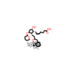 CC(C)(C)[Si](C)(C)OC(CC[C@H]1C(OC2CCCCO2)C[C@H](O)[C@@H]1C/C=C\CCCC(=O)O)Cc1ccccc1